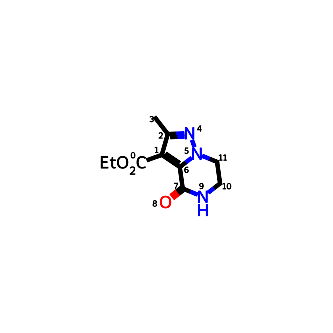 CCOC(=O)c1c(C)nn2c1C(=O)NCC2